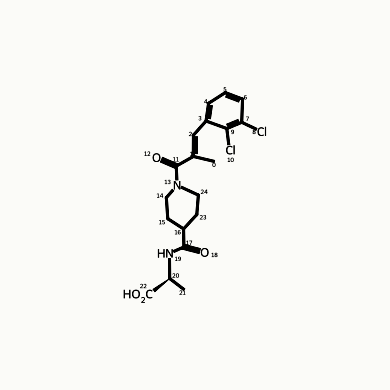 CC(=Cc1cccc(Cl)c1Cl)C(=O)N1CCC(C(=O)N[C@@H](C)C(=O)O)CC1